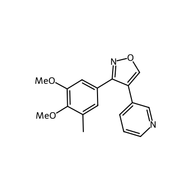 COc1cc(-c2nocc2-c2cccnc2)cc(C)c1OC